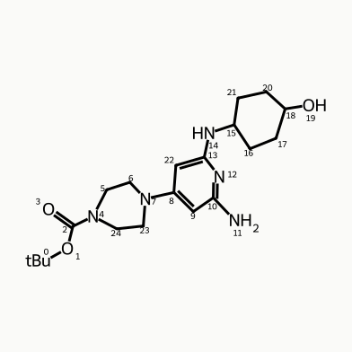 CC(C)(C)OC(=O)N1CCN(c2cc(N)nc(NC3CCC(O)CC3)c2)CC1